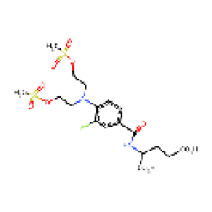 CS(=O)(=O)OCCN(CCOS(C)(=O)=O)c1ccc(C(=O)N[C@@H](CCC(=O)O)C(=O)O)cc1F